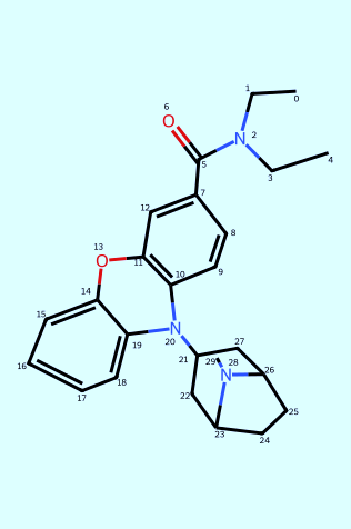 CCN(CC)C(=O)c1ccc2c(c1)Oc1ccccc1N2C1CC2CCC(C1)N2C